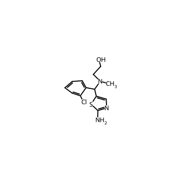 CN(CCO)C(c1cnc(N)s1)c1ccccc1Cl